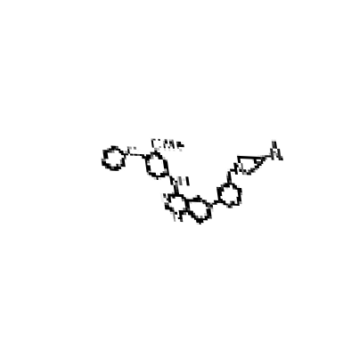 COc1cc(Nc2ncnc3ccc(-c4cccc(CN5CC6C(C5)C6N(C)C)c4)cc23)ccc1Oc1ccccc1